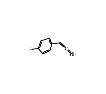 N=C=Cc1ccc(F)cc1